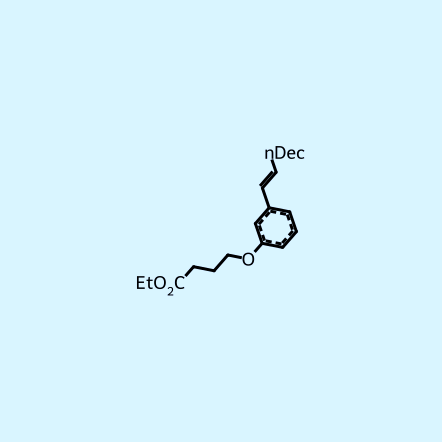 CCCCCCCCCC/C=C/c1cccc(OCCCC(=O)OCC)c1